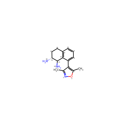 Cc1noc(C)c1-c1cccc2c1C(N)[C@H](N)CC2